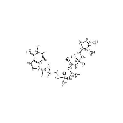 CCC(O)(OC[C@@H]1CC[C@H](n2cnc3c(=N)n(C)cnc32)O1)OP(O)OP(O)OC(O)(CC)OC[C@H]1OC[C@H](O)[C@@H]1O